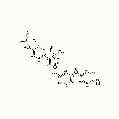 FC(F)(F)Oc1ccc(C(=COCc2cccc(Oc3ccc(Cl)cc3)c2)C(F)(F)F)cc1